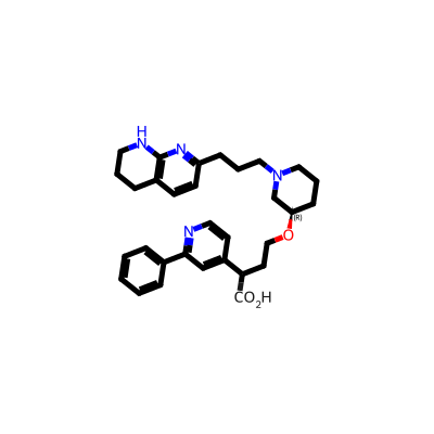 O=C(O)C(CCO[C@@H]1CCCN(CCCc2ccc3c(n2)NCCC3)C1)c1ccnc(-c2ccccc2)c1